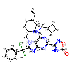 C=C[C@H]1CC[C@H](Cn2c(C(F)(F)c3ccccc3)nc3nc(-c4noc(=O)[nH]4)nc(N[C@H](C)C4CCC4)c32)CC1